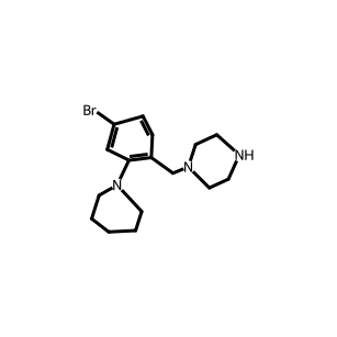 Brc1ccc(CN2CCNCC2)c(N2CCCCC2)c1